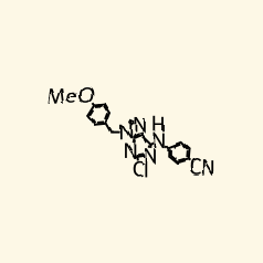 COc1ccc(Cn2cnc3c(Nc4ccc(C#N)cc4)nc(Cl)nc32)cc1